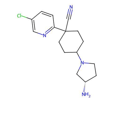 N#CC1(c2ccc(Cl)cn2)CCC(N2CC[C@H](N)C2)CC1